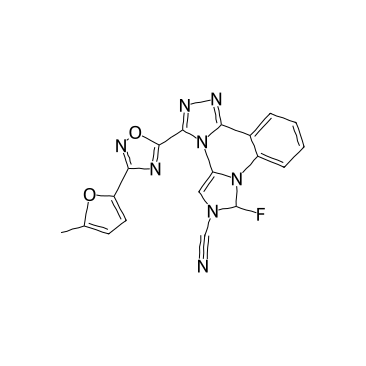 Cc1ccc(-c2noc(-c3nnc4n3C3=CN(C#N)C(F)N3c3ccccc3-4)n2)o1